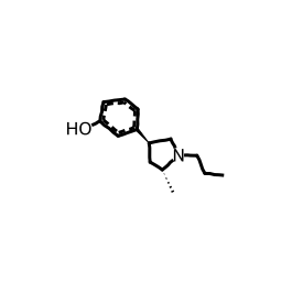 CCCN1C[C@H](c2cccc(O)c2)C[C@H]1C